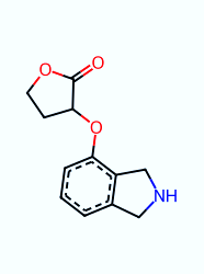 O=C1OCCC1Oc1cccc2c1CNC2